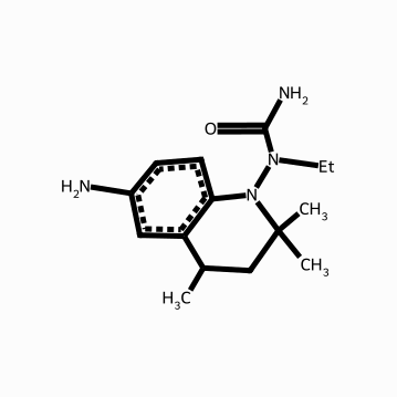 CCN(C(N)=O)N1c2ccc(N)cc2C(C)CC1(C)C